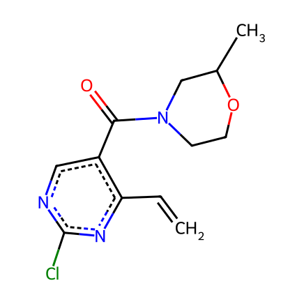 C=Cc1nc(Cl)ncc1C(=O)N1CCOC(C)C1